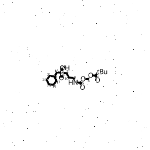 CC(C)(C)C(=O)OCOC(=O)NCCCP(=O)(O)CC1CCCCC1